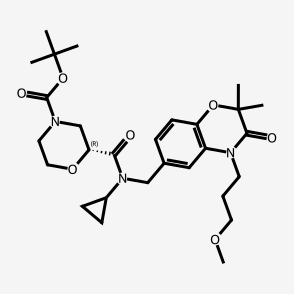 COCCCN1C(=O)C(C)(C)Oc2ccc(CN(C(=O)[C@H]3CN(C(=O)OC(C)(C)C)CCO3)C3CC3)cc21